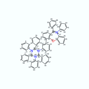 c1ccc(B2N(c3ccccc3)B(c3ccccc3)N(c3cccc(-c4cccc5c4Oc4ccccc4N(c4ccccc4)B5c4ccccc4)c3)B(c3ccccc3)N2c2ccccc2)cc1